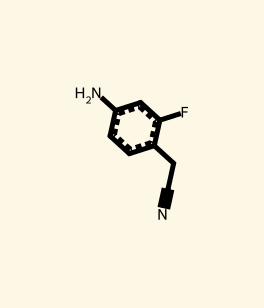 N#CCc1ccc(N)cc1F